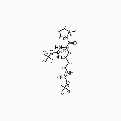 C[C@@H]1CCCN1C(=O)[C@@H](CCCCNC(=O)OC(C)(C)C)NC(=O)OC(C)(C)C